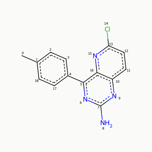 Cc1ccc(-c2nc(N)nc3ccc(Cl)nc23)cc1